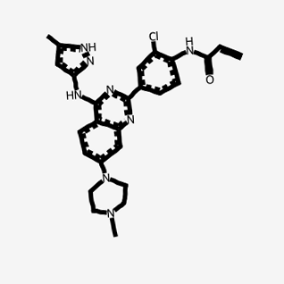 C=CC(=O)Nc1ccc(-c2nc(Nc3cc(C)[nH]n3)c3ccc(N4CCN(C)CC4)cc3n2)cc1Cl